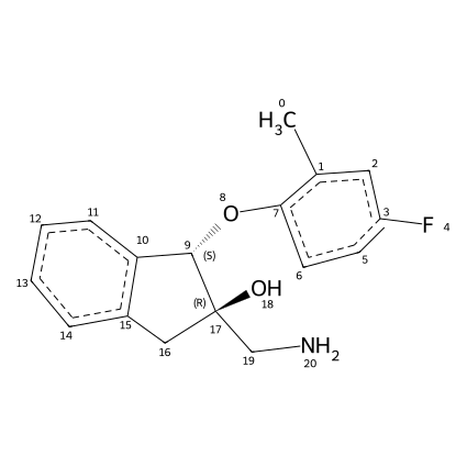 Cc1cc(F)ccc1O[C@H]1c2ccccc2C[C@@]1(O)CN